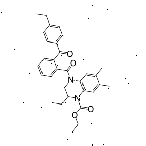 CCOC(=O)N1c2cc(C)c(C)cc2N(C(=O)c2ccccc2C(=O)c2ccc(CC)cc2)CC1CC